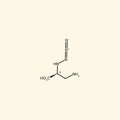 [N-]=[N+]=NN[C@@H](CN)C(=O)O